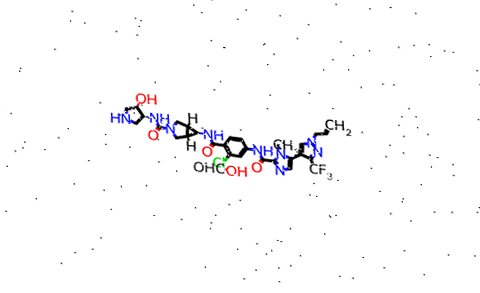 C=CCn1cc(-c2cnc(C(=O)Nc3ccc(C(=O)N[C@H]4[C@@H]5CN(C(=O)N[C@@H]6CNC[C@H]6O)C[C@@H]54)c(Cl)c3)n2C)c(C(F)(F)F)n1.O=CO